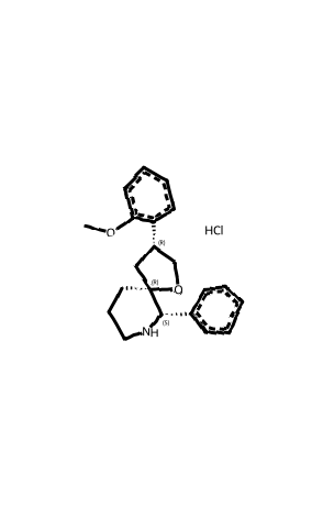 COc1ccccc1[C@@H]1CO[C@]2(CCCN[C@H]2c2ccccc2)C1.Cl